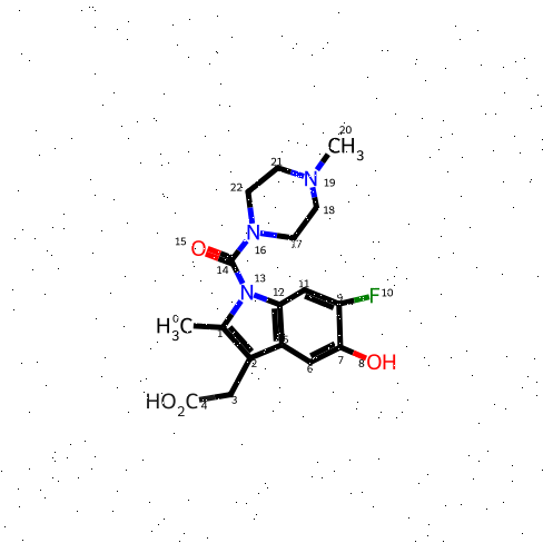 Cc1c(CC(=O)O)c2cc(O)c(F)cc2n1C(=O)N1CCN(C)CC1